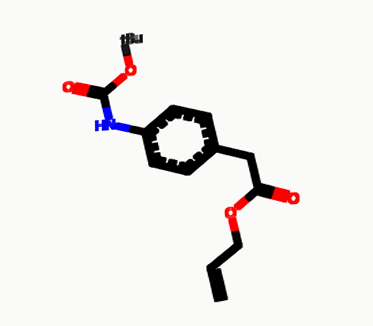 C=CCOC(=O)Cc1ccc(NC(=O)OC(C)(C)C)cc1